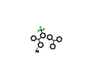 FC(F)(F)c1cccc(P(c2ccccc2)c2ccccc2)c1.[Pd][I].c1ccc(P(c2ccccc2)c2ccccc2)cc1